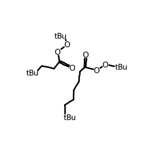 CC(C)(C)CCC(=O)OOC(C)(C)C.CC(C)(C)CCCCCC(=O)OOC(C)(C)C